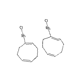 [Cl][Rh][C]1=CCCC=CCC1.[Cl][Rh][C]1=CCCC=CCC1